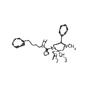 CN1CC(C)(C)N(C(=O)NCCCCc2ccccc2)CC1c1ccccc1